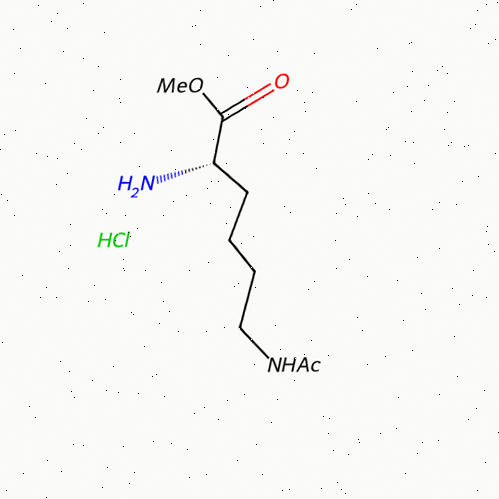 COC(=O)[C@@H](N)CCCCNC(C)=O.Cl